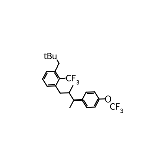 CC(Cc1cccc(CC(C)(C)C)c1C(F)(F)F)C(C)c1ccc(OC(F)(F)F)cc1